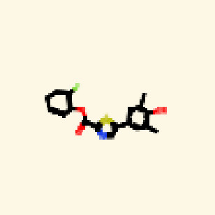 Cc1cc(-c2cnc(C(=O)OC3=C(F)CCC=C3)s2)cc(C)c1O